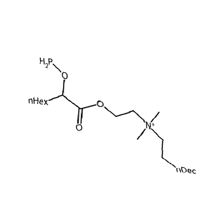 CCCCCCCCCCCC[N+](C)(C)CCOC(=O)C(CCCCCC)OP